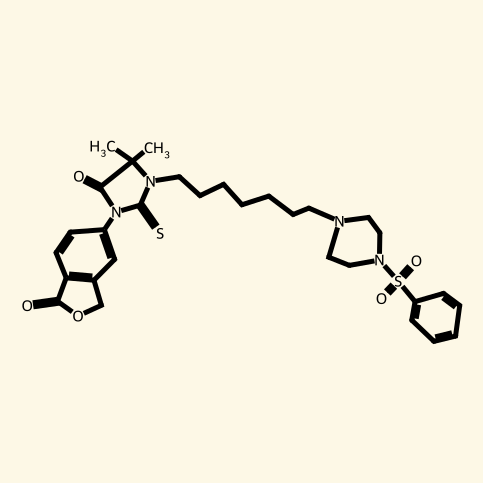 CC1(C)C(=O)N(c2ccc3c(c2)COC3=O)C(=S)N1CCCCCCCN1CCN(S(=O)(=O)c2ccccc2)CC1